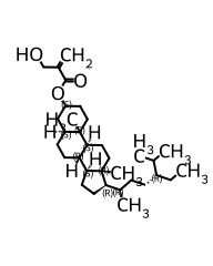 C=C(CO)C(=O)O[C@H]1CC[C@@]2(C)[C@@H](CC[C@@H]3[C@@H]2CC[C@]2(C)[C@@H]([C@H](C)CC[C@@H](CC)C(C)C)CC[C@@H]32)C1